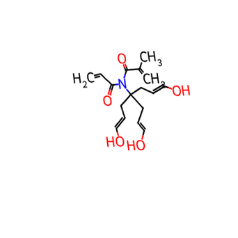 C=CC(=O)N(C(=O)C(=C)C)C(CC=CO)(CC=CO)CC=CO